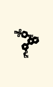 CCS(=O)(=O)N1CCC(Nc2cc(-c3cccc(OCC#N)c3)cc3ccncc23)CC1